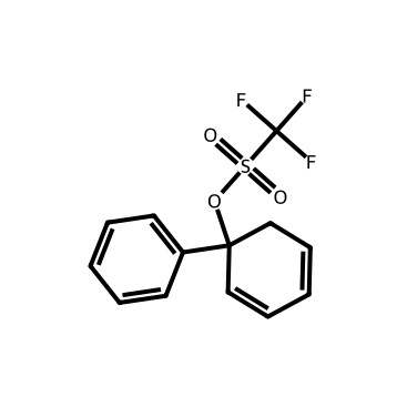 O=S(=O)(OC1(c2ccccc2)C=CC=CC1)C(F)(F)F